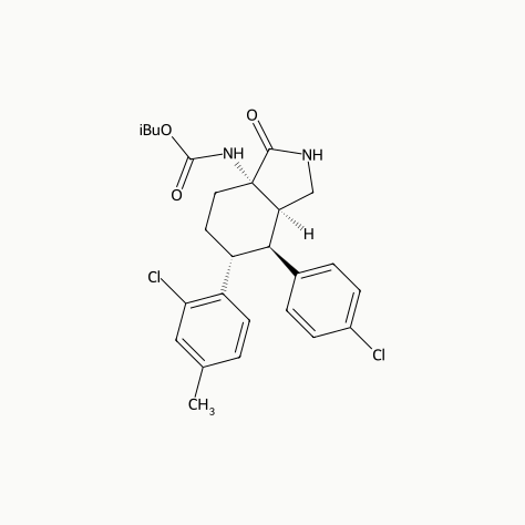 Cc1ccc([C@@H]2CC[C@@]3(NC(=O)OCC(C)C)C(=O)NC[C@H]3[C@H]2c2ccc(Cl)cc2)c(Cl)c1